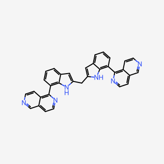 c1cc(-c2nccc3cnccc23)c2[nH]c(Cc3cc4cccc(-c5nccc6cnccc56)c4[nH]3)cc2c1